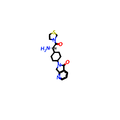 N[C@H](C(=O)N1CCSC1)C1CCC(N2Cc3ncccc3C2=O)CC1